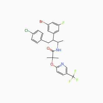 CC(NC(=O)C(C)(C)Oc1ccc(C(F)(F)F)cn1)C(Cc1ccc(Cl)cc1)c1cc(F)cc(Br)c1